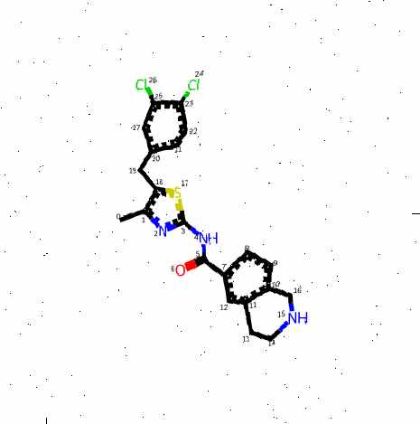 Cc1nc(NC(=O)c2ccc3c(c2)CCNC3)sc1Cc1ccc(Cl)c(Cl)c1